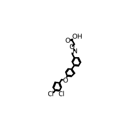 O=C(O)CON=Cc1cccc(-c2ccc(OCc3ccc(Cl)c(Cl)c3)cc2)c1